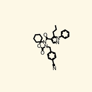 CCCc1c(C(=O)N2N(Cc3ccc(C#N)cc3)C(=O)OC23CCCCC3)cnn1-c1ccccc1